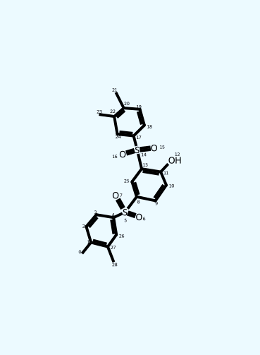 Cc1ccc(S(=O)(=O)c2ccc(O)c(S(=O)(=O)c3ccc(C)c(C)c3)c2)cc1C